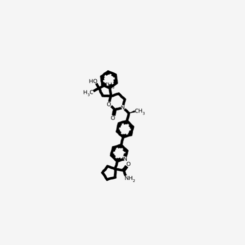 C[C@@H](c1ccc(-c2ccc(C3(C(N)=O)CCCC3)nc2)cc1)N1CCC(CC(C)(C)O)(c2ccccc2)OC1=O